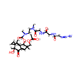 CC(=O)OCC1(C)C=C2C(=O)C(C)(O)C3(CC3)C(C)=C2C1OC(=O)N(C)CCN(C)C(=O)CNC(=O)CNC(=O)CN=[N+]=[N-]